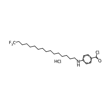 Cl.O=C(Cl)c1ccc(NCCCCCCCCCCCCCCCC(F)(F)F)cc1